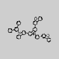 c1ccc(-c2cc(-c3ccccc3)cc(-n3c4ccccc4c4cc(-c5ccc6c(c5)c5cc(-c7ccc8oc9ccccc9c8c7)ccc5n6-c5cccc(-c6ccc7oc8ccccc8c7c6)c5)ccc43)c2)cc1